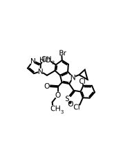 CCOC(=O)c1c(C(=S=O)c2c(Cl)cccc2Cl)n(C2CC2)c2cc(Br)c(O)c(Cn3ccnc3C)c12